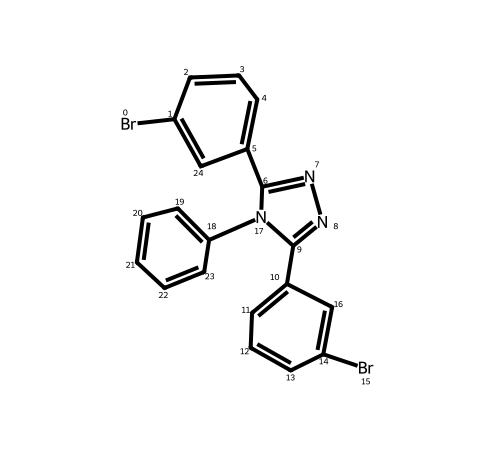 Brc1cccc(-c2nnc(-c3cccc(Br)c3)n2-c2ccccc2)c1